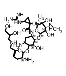 CN[C@@H]1[C@@H](O)[C@@H](O[C@H]2[C@H](NC(=O)C3(O)CC3NC(=N)N)C[C@H](N)C(O[C@H]3OC(CNCC(O)CO)=CC[C@H]3N)[C@@H]2O)OC[C@]1(C)O